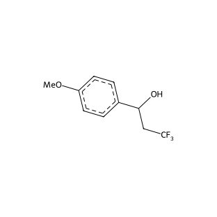 COc1ccc(C(O)CC(F)(F)F)cc1